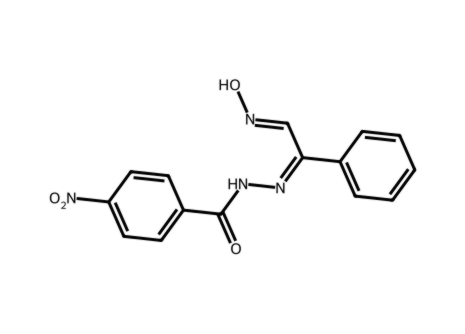 O=C(NN=C(C=NO)c1ccccc1)c1ccc([N+](=O)[O-])cc1